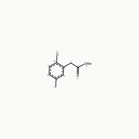 COC(=O)Cc1cc(C)ccc1Cl